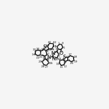 c1ccc2c(c1)oc1c(-c3cccc4c3sc3ccccc34)nc(-n3c4ccccc4c4c5ccccc5c5sc6ccccc6c5c43)nc12